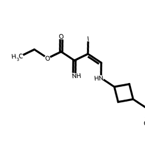 CCOC(=O)C(=N)/C(I)=C\NC1CC(CO)C1